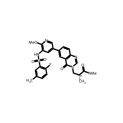 CNC(=O)[C@H](C)Cn1cnc2ccc(-c3cnc(OC)c(NS(=O)(=O)c4cc(C)ccc4F)c3)cc2c1=O